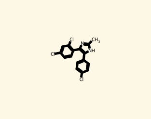 Cc1nc(-c2ccc(Cl)cc2Cl)c(-c2ccc(Cl)cc2)[nH]1